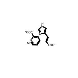 O=C([O-])C=Cc1c[nH]cn1.O=C([O-])c1ccccn1.[Mn+2]